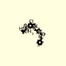 CC1(NS(=O)(=O)c2cc(Cl)c3cnn(CC4CCN(C(=O)OCc5ccccc5)C4)c3c2)CC1